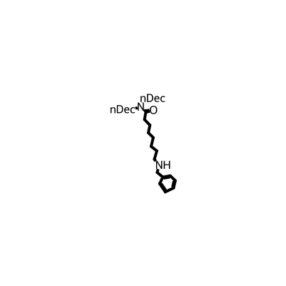 CCCCCCCCCCN(CCCCCCCCCC)C(=O)CCCCCCCNCc1ccccc1